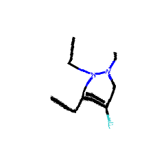 CCC1=C(F)CN(C)N1CC